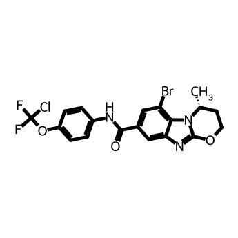 C[C@@H]1CCOc2nc3cc(C(=O)Nc4ccc(OC(F)(F)Cl)cc4)cc(Br)c3n21